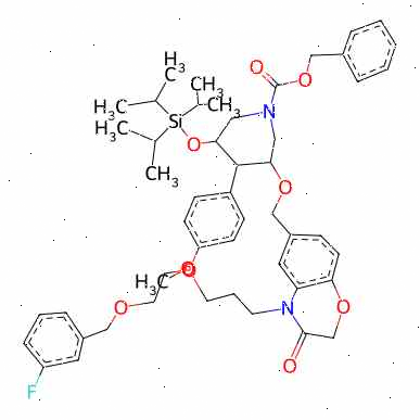 COCCCN1C(=O)COc2ccc(COC3CN(C(=O)OCc4ccccc4)CC(O[Si](C(C)C)(C(C)C)C(C)C)C3c3ccc(OCCOCc4cccc(F)c4)cc3)cc21